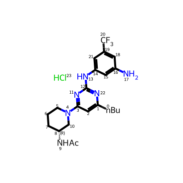 CCCCc1cc(N2CCC[C@@H](NC(C)=O)C2)nc(Nc2cc(N)cc(C(F)(F)F)c2)n1.Cl